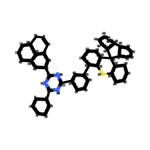 C1=Cc2cc(-c3nc(-c4ccccc4)nc(-c4cccc(-c5cccc6c5Sc5ccccc5C65c6ccccc6-c6ccccc65)c4)n3)cc3cccc(c23)C1